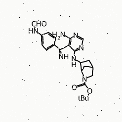 CC(C)(C)OC(=O)N1CC2CC(Nc3ncnc(N)c3C(=N)c3ccc(NC=O)cc3)C1C2